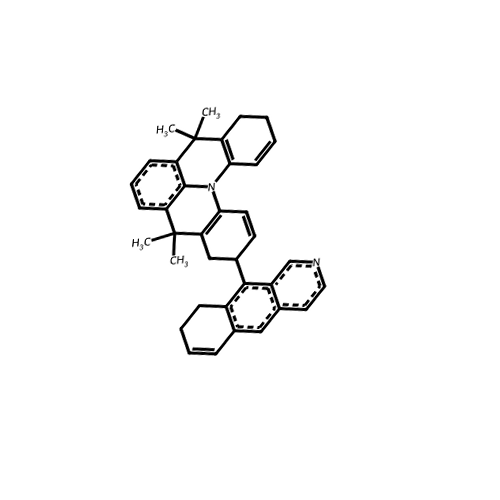 CC1(C)C2=C(C=CCC2)N2C3=C(CC(c4c5c(cc6ccncc46)C=CCC5)C=C3)C(C)(C)c3cccc1c32